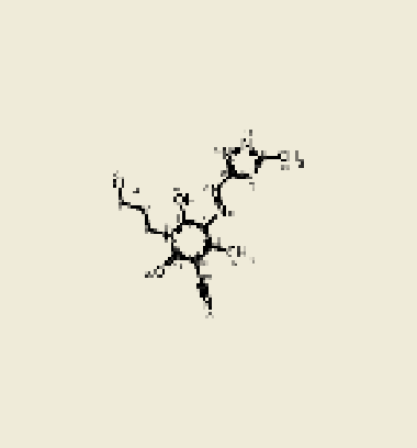 CCCCn1c(O)c(N=Nc2nnc(C)s2)c(C)c(C#N)c1=O